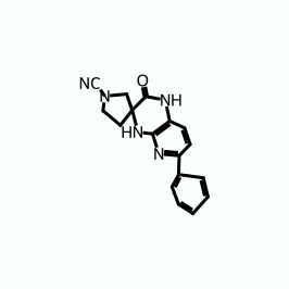 N#CN1CCC2(C1)Nc1nc(-c3ccccc3)ccc1NC2=O